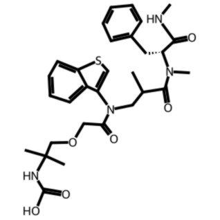 CNC(=O)[C@@H](Cc1ccccc1)N(C)C(=O)C(C)CN(C(=O)COCC(C)(C)NC(=O)O)c1csc2ccccc12